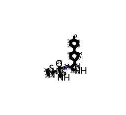 Cc1ccc(-c2ccc(-c3n[nH]cc3/C=C3\SC(=N)N(c4nccs4)C3=O)cc2)cc1